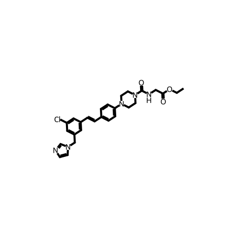 CCOC(=O)CNC(=O)N1CCN(c2ccc(C=Cc3cc(Cl)cc(Cn4ccnc4)c3)cc2)CC1